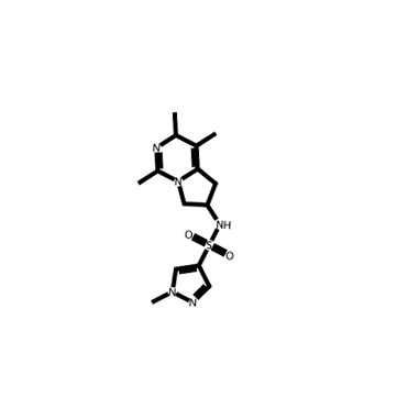 CC1=NC(C)C(C)=C2CC(NS(=O)(=O)c3cnn(C)c3)CN12